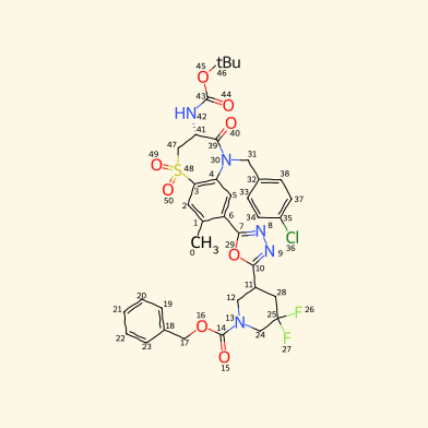 Cc1cc2c(cc1-c1nnc(C3CN(C(=O)OCc4ccccc4)CC(F)(F)C3)o1)N(Cc1ccc(Cl)cc1)C(=O)[C@@H](NC(=O)OC(C)(C)C)CS2(=O)=O